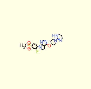 CS(=O)(=O)c1ccc(N2CCc3c(OC4CCN(C5=NCCCN5)CC4)ncnc32)c(F)c1